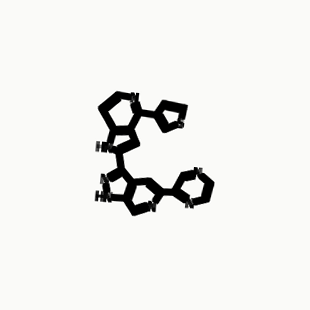 c1cnc(-c2cc3c(-c4cc5c(-c6ccsc6)nccc5[nH]4)n[nH]c3cn2)cn1